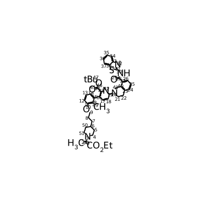 CCOC(=O)[C@@H](C)N1CCC(CCCOc2cccc(-c3ccc(N4CCc5cccc(C(=O)Nc6nc7ccccc7s6)c5C4)nc3C(=O)OC(C)(C)C)c2C)CC1